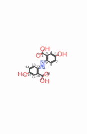 O=C(O)c1cc(O)ccc1/N=N/c1ccc(O)cc1C(=O)O